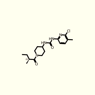 CC[C@H](C)C(=O)N1CCC(NC(=O)Nc2ccc(C)c(Cl)n2)CC1